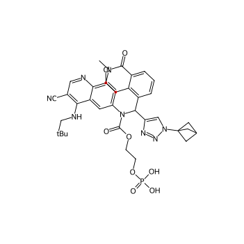 Cn1ccc2c(C(c3cn(C45CC(C4)C5)nn3)N(C(=O)OCCOP(=O)(O)O)c3cc(Cl)c4ncc(C#N)c(NCC(C)(C)C)c4c3)cccc2c1=O